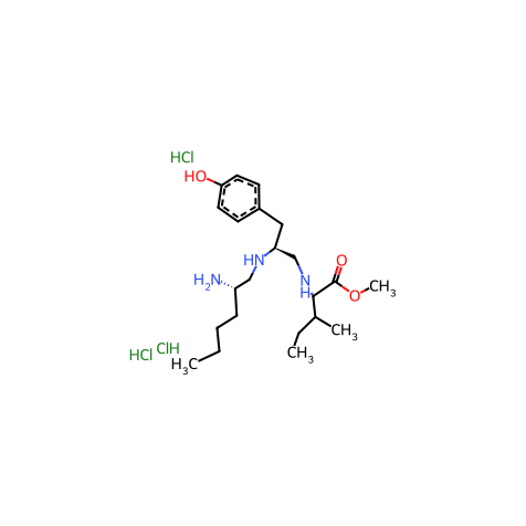 CCCC[C@H](N)CN[C@H](CN[C@H](C(=O)OC)C(C)CC)Cc1ccc(O)cc1.Cl.Cl.Cl